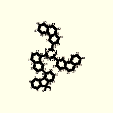 CC1(C)c2ccccc2-c2c(-c3ccc4cccc(-c5nc(-c6ccc7ccc8ccccc8c7c6)nc(-c6ccc7ccc8ccccc8c7c6)n5)c4c3)cccc21